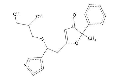 CC1(c2ccccc2)OC(CC(SCC(O)CO)c2ccsc2)=CC1=O